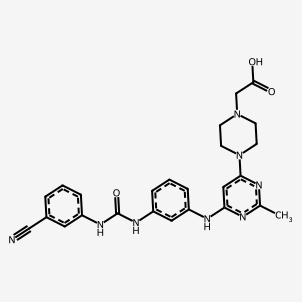 Cc1nc(Nc2cccc(NC(=O)Nc3cccc(C#N)c3)c2)cc(N2CCN(CC(=O)O)CC2)n1